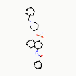 Cc1ccccc1C(=O)Nc1ccc(S(=O)(=O)N[C@H]2CCN(Cc3ccccc3)C[C@H]2C)c2ccccc12